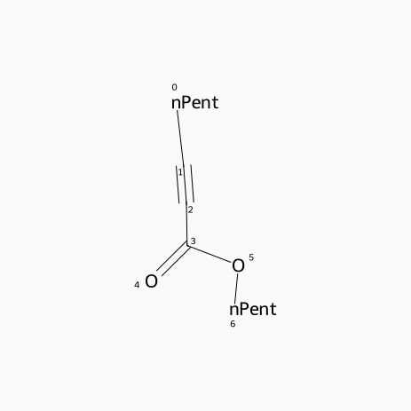 CCCCCC#CC(=O)OCCCCC